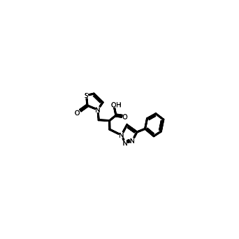 O=C(O)C(Cn1cc(-c2ccccc2)nn1)Cn1ccsc1=O